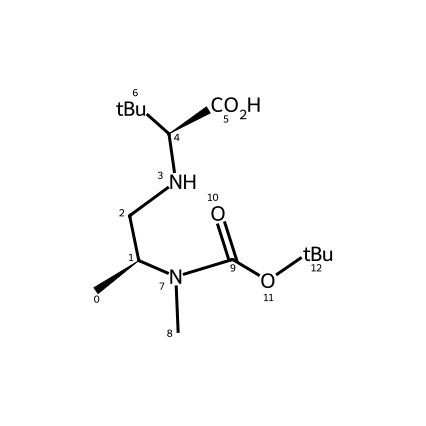 C[C@@H](CN[C@H](C(=O)O)C(C)(C)C)N(C)C(=O)OC(C)(C)C